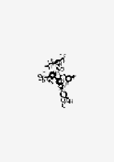 CC(C)[C@@H](C)C(F)(F)c1cc(C(F)(F)F)nn1CC(=O)N[C@@H](Cc1cc(F)cc(F)c1)c1nc2nc(N3CCC4(CC3)CNC(=O)O4)sc2cc1-c1cccc2c(NS(C)(=O)=O)nn(C)c12